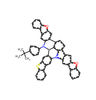 CC(C)(C)c1ccc(N2B3c4cc5sc6ccccc6c5cc4-n4c5cc6c(cc5c5ccc(c3c54)-c3cc4oc5ccccc5c4cc32)oc2ccccc26)cc1